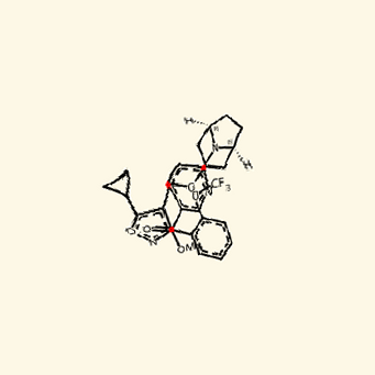 COC(=O)c1ccc(N2[C@@H]3CC[C@H]2CC(OCc2c(-c4ccccc4OC(F)(F)F)noc2C2CC2)C3)nc1